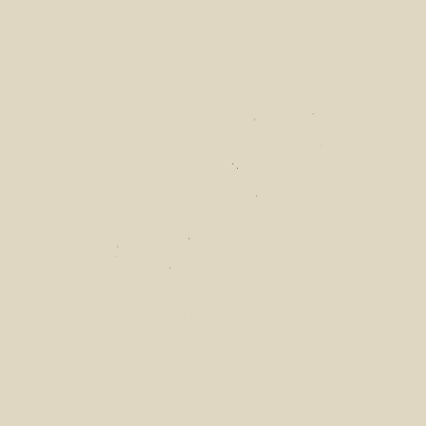 CCO[Si]1(OCC)CCCCCN(C2=CC=CCO2)CCC1